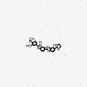 COc1ccc(-c2nc3ccc(-c4nc5ccc(C6=NCCCN6)cc5[nH]4)cc3[nH]2)cc1O